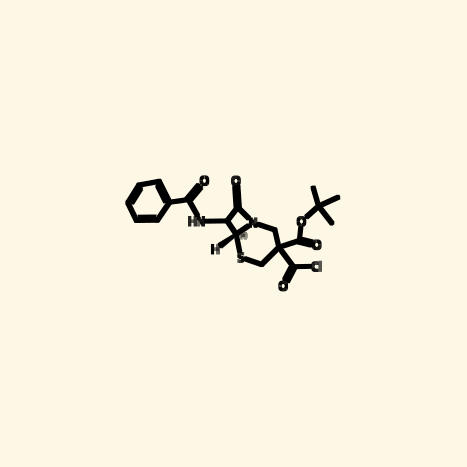 CC(C)(C)OC(=O)C1(C(=O)Cl)CS[C@@H]2C(NC(=O)c3ccccc3)C(=O)N2C1